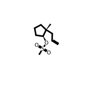 C=CC[C@@]1(C)CCC[C@@H]1OS(C)(=O)=O